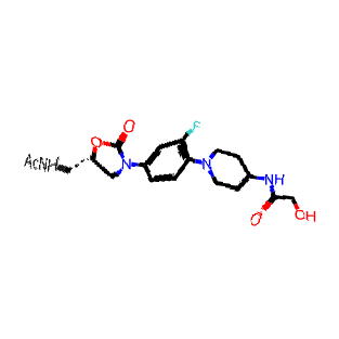 CC(=O)NC[C@H]1CN(c2ccc(N3CCC(NC(=O)CO)CC3)c(F)c2)C(=O)O1